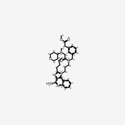 CCCCc1nc2c(N)nc3ccccc3c2n1CCCN(Cc1cccc(CC(=O)OC)c1)C(=O)CN(C)C1CCOCC1